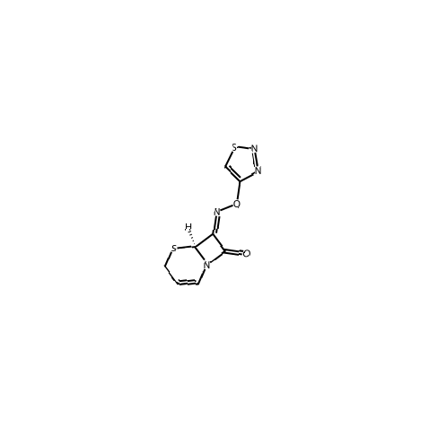 O=C1C(=NOc2csnn2)[C@@H]2SCC=CN12